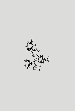 CCCN(C)c1cc2c(N3CCC(c4cc(F)ccc4OC)CC3)nc(C3CC3)nc2cc1C